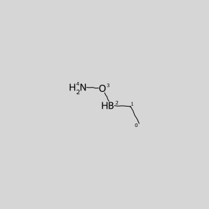 CCBON